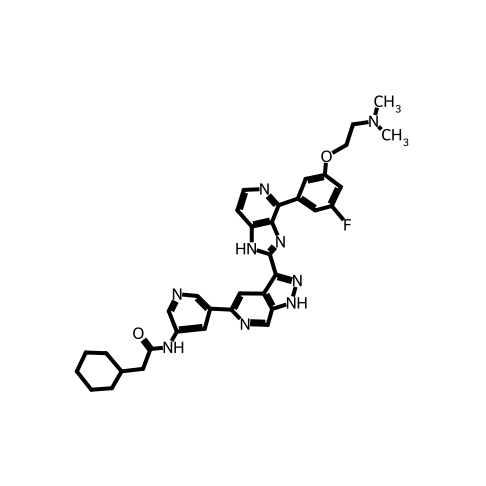 CN(C)CCOc1cc(F)cc(-c2nccc3[nH]c(-c4n[nH]c5cnc(-c6cncc(NC(=O)CC7CCCCC7)c6)cc45)nc23)c1